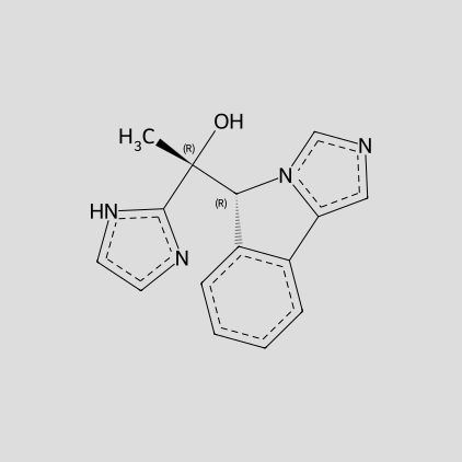 C[C@](O)(c1ncc[nH]1)[C@H]1c2ccccc2-c2cncn21